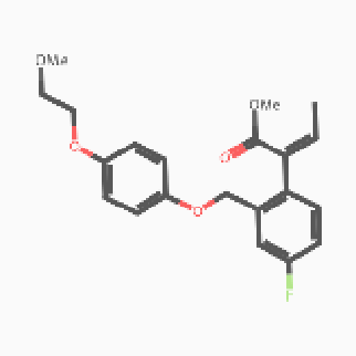 CC=C(C(=O)OC)c1ccc(F)cc1COc1ccc(OCCOC)cc1